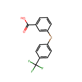 O=C(O)c1cccc(Sc2ccc(C(F)(F)F)cc2)c1